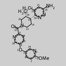 COc1ccc(Oc2ccc(C(=O)N3CC[C@@H](c4nnc(N)cc4C)[C@@H](C)C3)nc2)cn1